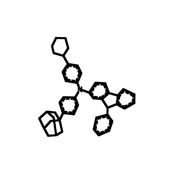 c1ccc(C2c3ccccc3-c3ccc(N(c4ccc(C5CCCCC5)cc4)c4ccc(C56CC7CC(CC(C7)C5)C6)cc4)cc32)cc1